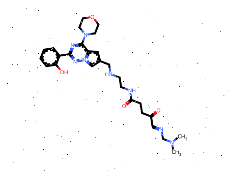 CN(C)C/N=C/C(=O)CCC(=O)NCCNCc1cc2c(N3CCOCC3)nc(-c3ccccc3O)nn2c1